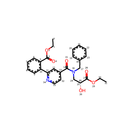 CCOC(=O)c1ccccc1-c1cc(C(=O)N(Cc2ccccc2)C[C@@H](O)C(=O)OCC)ccn1